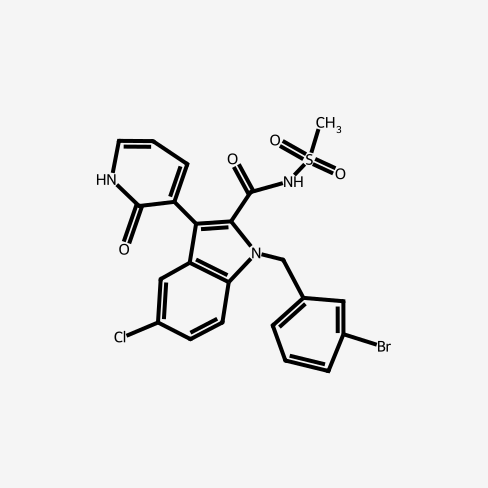 CS(=O)(=O)NC(=O)c1c(-c2ccc[nH]c2=O)c2cc(Cl)ccc2n1Cc1cccc(Br)c1